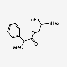 CCCCCCC(CCCC)COC(=O)C(OC)c1ccccc1